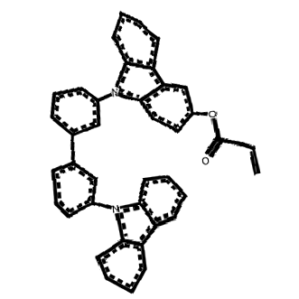 C=CC(=O)Oc1ccc2c(c1)c1ccccc1n2-c1cccc(-c2cccc(-n3c4ccccc4c4ccccc43)c2)c1